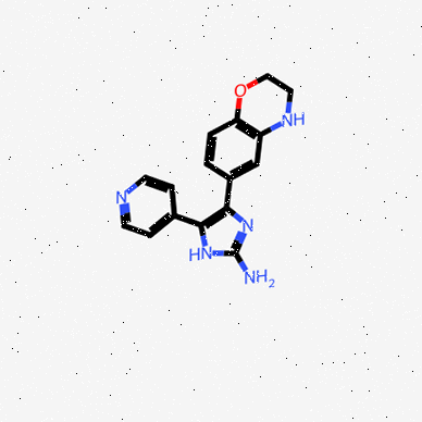 Nc1nc(-c2ccc3c(c2)NCCO3)c(-c2ccncc2)[nH]1